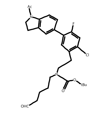 CC(=O)N1CCc2cc(-c3cc(CCN(CCCCC=O)C(=O)OC(C)(C)C)c(Cl)cc3F)ccc21